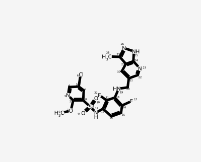 COc1ncc(Cl)cc1S(=O)(=O)Nc1ccc(F)c(NCc2cnc3[nH]nc(C)c3c2)c1F